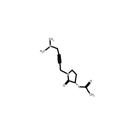 CC(=O)S[C@H]1CCN(CC#CCN(C)C)C1=O